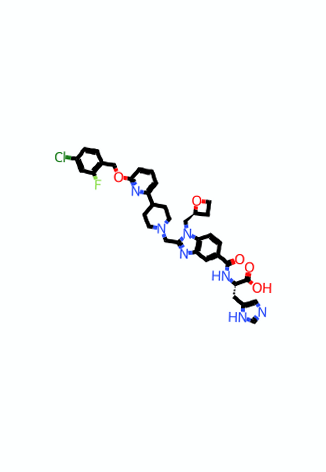 O=C(N[C@@H](Cc1cnc[nH]1)C(=O)O)c1ccc2c(c1)nc(CN1CCC(c3cccc(OCc4ccc(Cl)cc4F)n3)CC1)n2C[C@@H]1CCO1